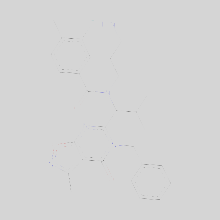 Cc1ccc(C(=O)N(CCCN)C(c2nc3onc(C)c3c(=O)n2Cc2ccccc2)C(C)C)cc1F